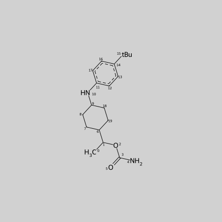 CC(OC(N)=O)C1CCC(Nc2ccc(C(C)(C)C)cc2)CC1